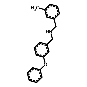 Cc1cccc(CNCc2cccc(Oc3ccccc3)c2)c1